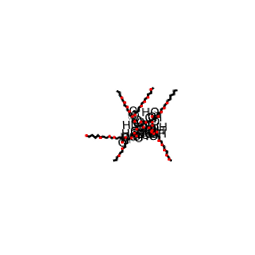 CCCCCCCCCCCCCC(=O)O[C@H](CCCCCCCCCC)CCC(=O)O[C@@H]1[C@@H](NC(=O)C[C@@H](CCCCCCCCCCC)OC(=O)CCCCCCCCCCC)[C@H](OC[C@H]2O[C@H](OP(=O)(O)O)[C@H](NC(=O)C[C@H](O)CCCCCCCCCCC)[C@@H](OC(=O)C[C@H](O)CCCCCCCCCCC)[C@@H]2O)O[C@H](CO)[C@H]1OP(=O)(O)O